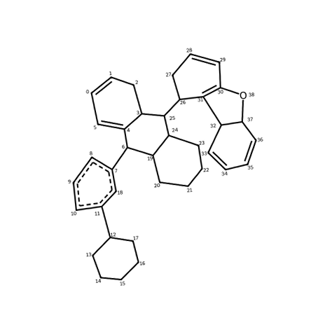 C1=CCC2C(=C1)C(c1cccc(C3CCCCC3)c1)C1CCCCC1C2C1CC=CC2=C1C1C=CC=CC1O2